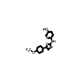 Oc1ccc(Nc2ncc(-c3ccc(OC(F)(F)F)cc3)o2)nc1